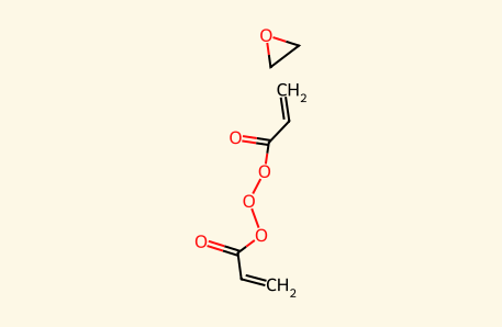 C1CO1.C=CC(=O)OOOC(=O)C=C